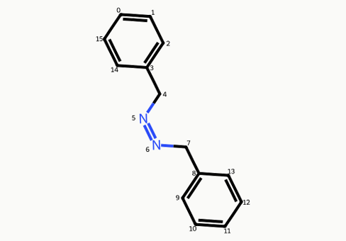 c1ccc(C/N=N\Cc2ccccc2)cc1